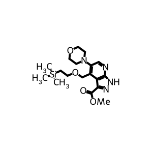 COC(=O)c1n[nH]c2ncc(N3CCOCC3)c(COCC[Si](C)(C)C)c12